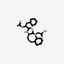 CC(=O)SC(Cc1ccccc1)C(=O)NC1CCCc2ccccc2N(CC(=O)O)C1=O